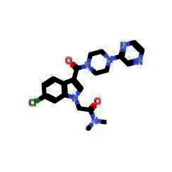 CN(C)C(=O)Cn1cc(C(=O)N2CCN(c3cnccn3)CC2)c2ccc(Cl)cc21